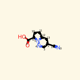 N#Cc1cnn2c(C(=O)O)ccc2c1